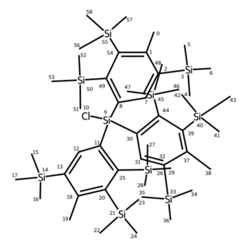 Cc1c([Si](C)(C)C)cc([Si](Cl)(c2cc([Si](C)(C)C)c(C)c([Si](C)(C)C)c2[Si](C)(C)C)c2cc([Si](C)(C)C)c(C)c([Si](C)(C)C)c2[Si](C)(C)C)c([Si](C)(C)C)c1[Si](C)(C)C